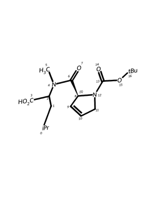 CC(C)CC(C(=O)O)N(C)C(=O)[C@@H]1C=CCN1C(=O)OC(C)(C)C